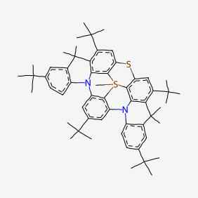 CC(C)(C)c1cc2c3c(c1)N1c4ccc(C(C)(C)C)cc4C(C)(C)c4c(C(C)(C)C)cc5c(c41)S3(C)c1c(cc(C(C)(C)C)c3c1N2c1ccc(C(C)(C)C)cc1C3(C)C)S5